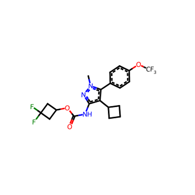 Cn1nc(NC(=O)OC2CC(F)(F)C2)c(C2CCC2)c1-c1ccc(OC(F)(F)F)cc1